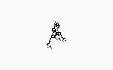 COCCOCC1CC2CC1C(C)C2C1C2CC(CC2CCC(=O)O)C1C1C(C)C2CC(CC(O)(C(F)(F)F)C(F)(F)F)C1C2